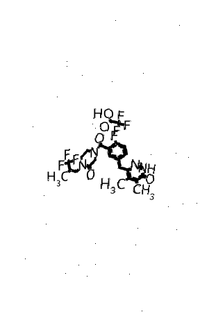 Cc1c(Cc2ccc(F)c(C(=O)N3CCN(CC(C)C(F)(F)F)C(=O)C3)c2)n[nH]c(=O)c1C.O=C(O)C(F)(F)F